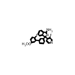 COc1ccc(F)c(-c2cccc(C3(c4ccncc4F)N=C(N)c4ccccc43)c2)c1